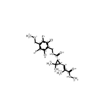 COCc1c(F)c(Cl)c(COC(=O)[C@@H]2[C@@H](/C=C(\C)C(=O)OC)C2(C)C)c(Cl)c1F